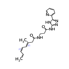 C=C/C=C\C=C(/C)CC(=O)NCCC(=O)Nc1nnc(-c2ccccn2)[nH]1